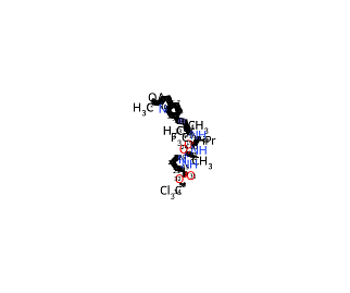 CC(=O)O[C@H](C)c1ccc2ccc(/C=C/C(C)(C)[C@H](N[C@H](C(=O)N[C@@H](C)C(=O)N3CCC[C@@H](C(=O)OCC(Cl)(Cl)Cl)N3)C(C)C)C(F)(F)F)cc2n1